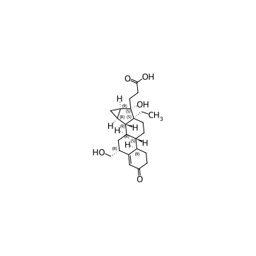 CC[C@]12CC[C@H]3[C@@H](C[C@@H](CO)C4=CC(=O)CC[C@@H]43)[C@@H]1[C@H]1C[C@H]1[C@@]2(O)CCC(=O)O